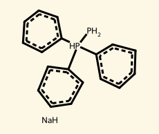 P[PH](c1ccccc1)(c1ccccc1)c1ccccc1.[NaH]